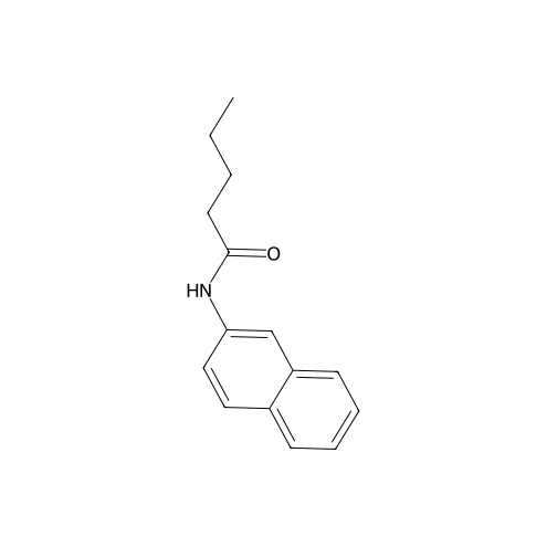 CCCCC(=O)Nc1ccc2ccccc2c1